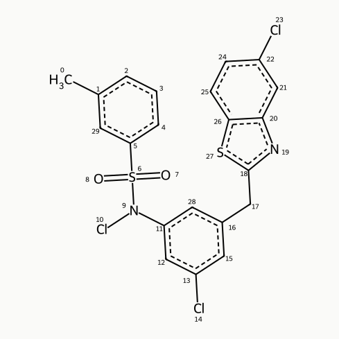 Cc1cccc(S(=O)(=O)N(Cl)c2cc(Cl)cc(Cc3nc4cc(Cl)ccc4s3)c2)c1